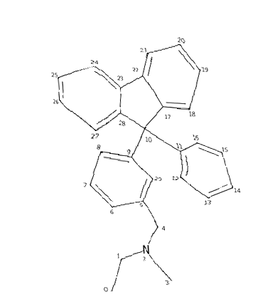 CCN(C)Cc1cccc(C2(c3ccccc3)c3ccccc3-c3ccccc32)c1